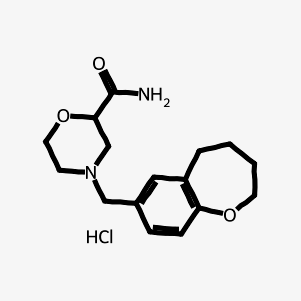 Cl.NC(=O)C1CN(Cc2ccc3c(c2)CCCCO3)CCO1